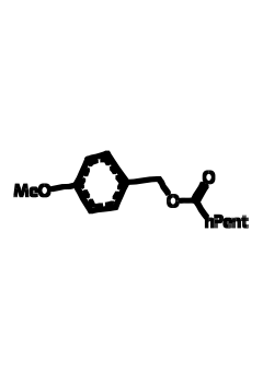 CCCCCC(=O)OCc1ccc(OC)cc1